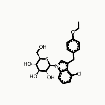 CCOc1ccc(Cc2cn([C@@H]3S[C@H](CO)[C@@H](O)[C@H](O)[C@H]3O)c3cccc(Cl)c23)cc1